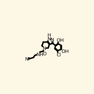 N#CCCNCC(=O)N1CCc2[nH]nc(-c3cc(Cl)c(O)cc3O)c2C1